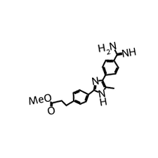 COC(=O)CCc1ccc(-c2nc(-c3ccc(C(=N)N)cc3)c(C)[nH]2)cc1